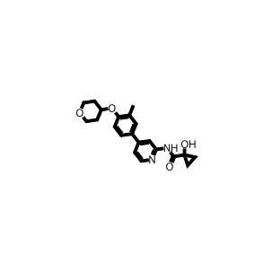 Cc1cc(-c2ccnc(NC(=O)C3(O)CC3)c2)ccc1OC1CCOCC1